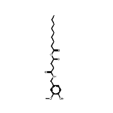 CCCCCCCCC(=O)OC(=O)CCC(=O)NCc1ccc(O)c(OC)c1